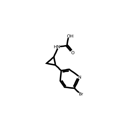 O=C(O)NC1CC1c1ccc(Br)nc1